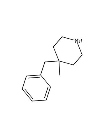 CC1(Cc2ccccc2)CCNCC1